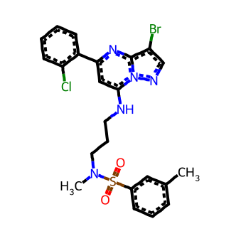 Cc1cccc(S(=O)(=O)N(C)CCCNc2cc(-c3ccccc3Cl)nc3c(Br)cnn23)c1